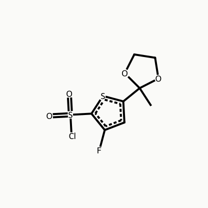 CC1(c2cc(F)c(S(=O)(=O)Cl)s2)OCCO1